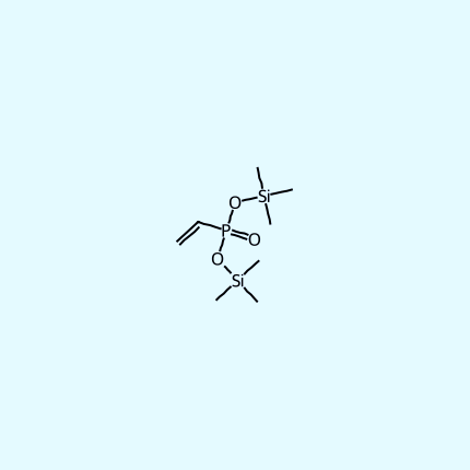 C=CP(=O)(O[Si](C)(C)C)O[Si](C)(C)C